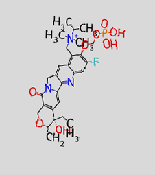 C=C1OCc2c(cc3n(c2=O)Cc2cc4c(C[N+](C)(C)C(C)C)c(OCOP(=O)(O)O)c(F)cc4nc2-3)[C@@]1(O)CC